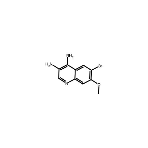 COc1cc2ncc(N)c(N)c2cc1Br